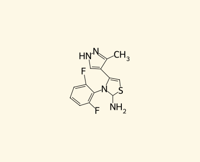 Cc1n[nH]cc1C1=CSC(N)N1c1c(F)cccc1F